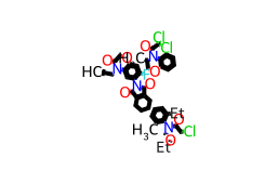 C#CCN1C(=O)COc2cc(F)c(N3C(=O)C4=C(CCCC4)C3=O)cc21.CC1COc2ccccc2N1C(=O)C(Cl)Cl.CCOCN(C(=O)CCl)c1c(C)cccc1CC